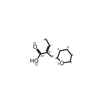 C1CCOCC1.CC=C(C)C(=O)O